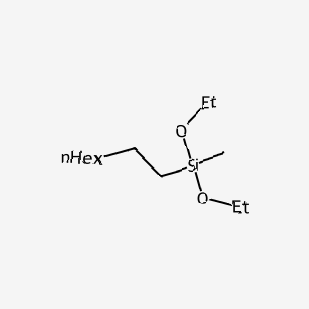 [CH2]CCCCCCC[Si](C)(OCC)OCC